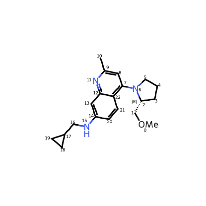 COC[C@H]1CCCN1c1cc(C)nc2cc(NCC3CC3)ccc12